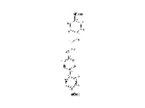 CCCCCCCCCCc1ccc(-c2ccc(OCCC[C@H]3CC[C@H](CCCCC)CC3)cc2)nc1